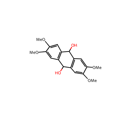 COc1cc2c(cc1OC)C(O)c1cc(OC)c(OC)cc1C2O